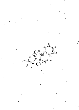 CC(C)(C)OC(=O)C1(Cl)N=Cc2ncccc2N1Cl